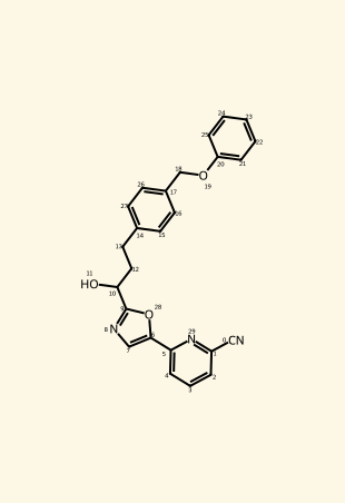 N#Cc1cccc(-c2cnc(C(O)CCc3ccc(COc4ccccc4)cc3)o2)n1